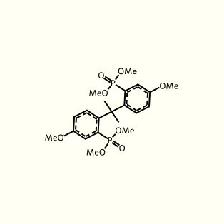 COc1ccc(C(C)(C)c2ccc(OC)cc2P(=O)(OC)OC)c(P(=O)(OC)OC)c1